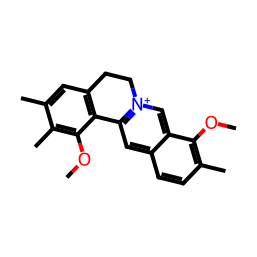 COc1c(C)c(C)cc2c1-c1cc3ccc(C)c(OC)c3c[n+]1CC2